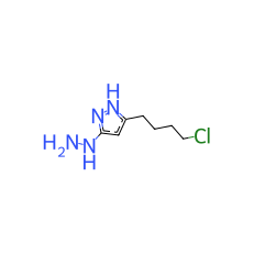 NNc1cc(CCCCCl)[nH]n1